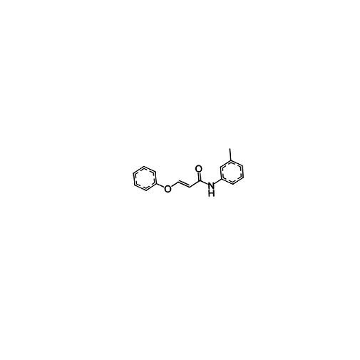 Cc1cccc(NC(=O)C=COc2ccccc2)c1